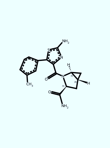 Cc1cccc(-c2sc(N)nc2C(=O)N2[C@H](C(N)=O)C[C@H]3C[C@@H]32)c1